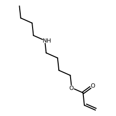 C=CC(=O)OCCCCNCCCC